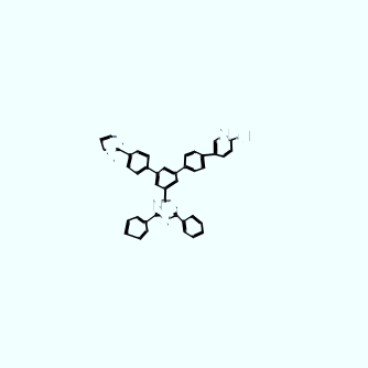 Cc1ccc(-c2ccc(-c3cc(-c4ccc(-c5ncccn5)cc4)cc(-c4nc(-c5ccccc5)nc(-c5ccccc5)n4)c3)cc2)cn1